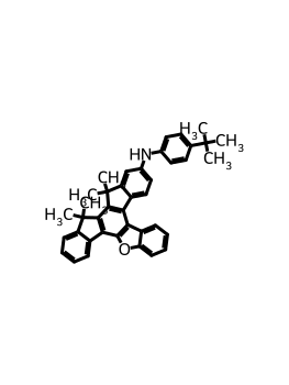 CC(C)(C)c1ccc(Nc2ccc3c(c2)C(C)(C)c2c4c(c5oc6ccccc6c5c2-3)-c2ccccc2C4(C)C)cc1